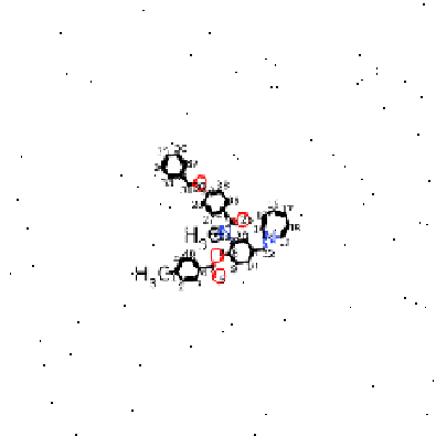 Cc1ccc(C(=O)OC2CCC(CN3C=CC=CC=C3)CC2N(C)C(=O)c2ccc(OCc3ccccc3)cc2)cc1